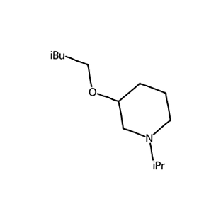 CCC(C)COC1CCCN(C(C)C)C1